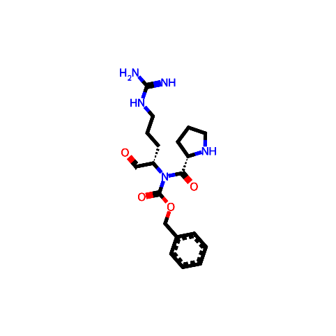 N=C(N)NCCC[C@@H]([C]=O)N(C(=O)OCc1ccccc1)C(=O)[C@@H]1CCCN1